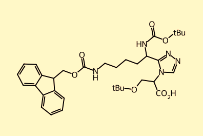 CC(C)(C)OCC(C(=O)O)n1cnnc1C(CCCCNC(=O)OCC1c2ccccc2-c2ccccc21)NC(=O)OC(C)(C)C